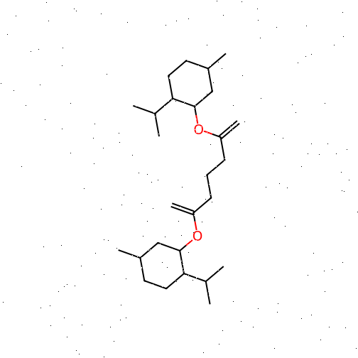 C=C(CCCC(=C)OC1CC(C)CCC1C(C)C)OC1CC(C)CCC1C(C)C